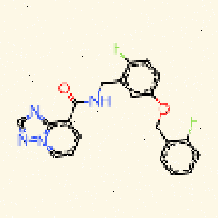 O=C(NCc1cc(OCc2ccccc2F)ccc1F)c1cccn2ncnc12